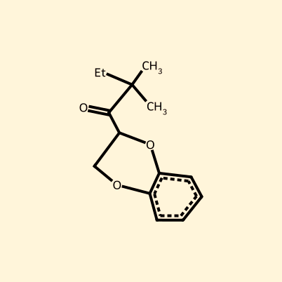 CCC(C)(C)C(=O)C1COc2ccccc2O1